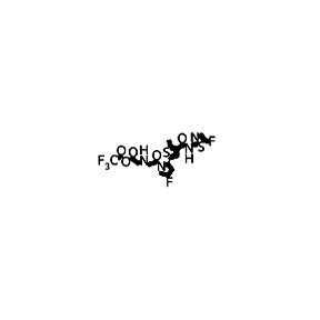 Cc1sc([C@@H]2C[C@@H](F)CN2C(=O)CNCC(=O)OC(=O)C(F)(F)F)cc1C(=O)Nc1ncc(F)s1